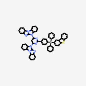 c1ccc([Si](c2ccccc2)(c2ccc(-c3nc(-n4c5ccccc5n5c6ccccc6nc45)cc(-n4c5ccccc5n5c6ccccc6nc45)n3)cc2)c2ccc3sc4ccccc4c3c2)cc1